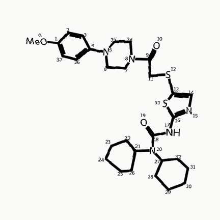 COc1ccc(N2CCN(C(=O)CSc3cnc(NC(=O)N(C4CCCCC4)C4CCCCC4)s3)CC2)cc1